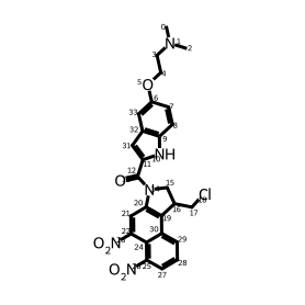 CN(C)CCOc1ccc2[nH]c(C(=O)N3CC(CCl)c4c3cc([N+](=O)[O-])c3c([N+](=O)[O-])cccc43)cc2c1